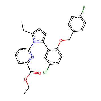 CCOC(=O)c1cccc(-n2c(CC)ccc2-c2cc(Cl)ccc2OCc2ccc(F)cc2)n1